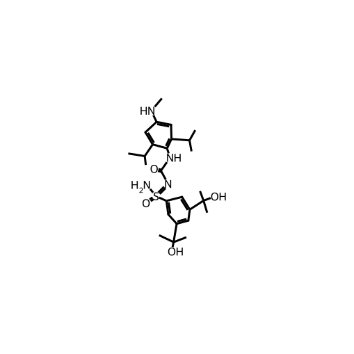 CNc1cc(C(C)C)c(NC(=O)N=S(N)(=O)c2cc(C(C)(C)O)cc(C(C)(C)O)c2)c(C(C)C)c1